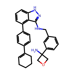 NC1(c2cccc(CNc3n[nH]c4cccc(-c5ccc(C6=CCCCC6)cc5)c34)c2)COC1